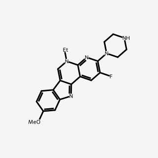 CCn1cc2c3ccc(OC)cc3nc-2c2cc(F)c(N3CCNCC3)nc21